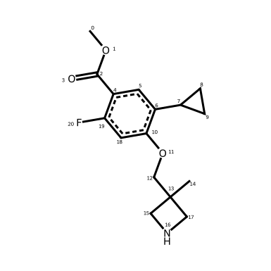 COC(=O)c1cc(C2CC2)c(OCC2(C)CNC2)cc1F